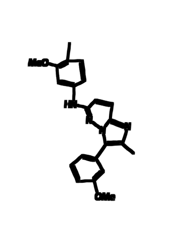 COc1cccc(-c2c(C)nc3ccc(Nc4ccc(C)c(OC)c4)nn23)c1